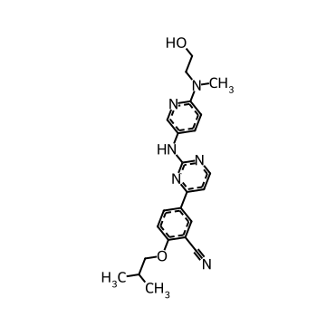 CC(C)COc1ccc(-c2ccnc(Nc3ccc(N(C)CCO)nc3)n2)cc1C#N